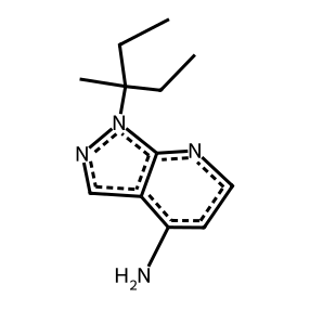 CCC(C)(CC)n1ncc2c(N)ccnc21